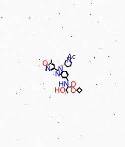 CC(=O)N1CCC[C@H](Cn2c(-c3cc(C)c(=O)n(C)c3)nc3cc(CNC(C(=O)OC4CCC4)C(C)O)ccc32)C1